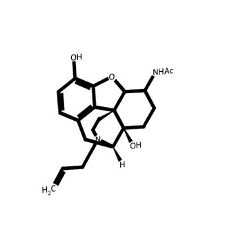 C=CCN1CC[C@@]23c4c5ccc(O)c4OC2C(NC(C)=O)CC[C@]3(O)[C@@H]1C5